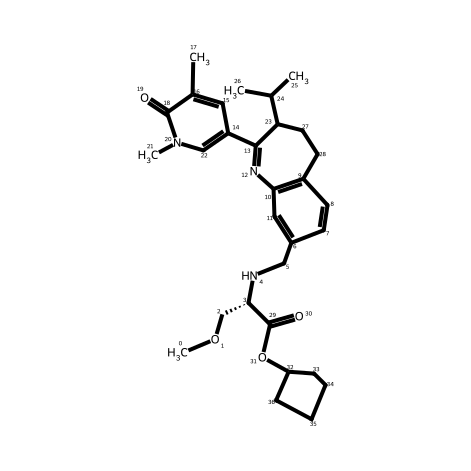 COC[C@H](NCc1ccc2c(c1)N=C(c1cc(C)c(=O)n(C)c1)C(C(C)C)CC2)C(=O)OC1CCCC1